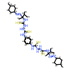 CC1CCC(N=NC(C)(NC(S)NNC(S)Nc2ccc(NC(S)NNC(S)NC(C)(N=NC3CCC(C)CC3)C(C)C)cc2)C(C)C)CC1